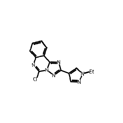 CCn1cc(-c2nc3c4ccccc4nc(Cl)n3n2)cn1